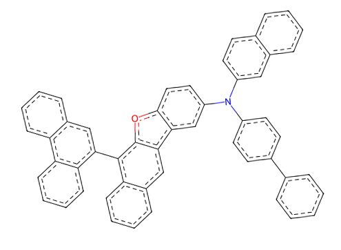 c1ccc(-c2ccc(N(c3ccc4ccccc4c3)c3ccc4oc5c(-c6cc7ccccc7c7ccccc67)c6ccccc6cc5c4c3)cc2)cc1